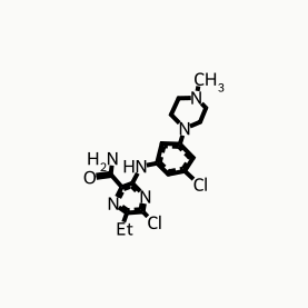 CCc1nc(C(N)=O)c(Nc2cc(Cl)cc(N3CCN(C)CC3)c2)nc1Cl